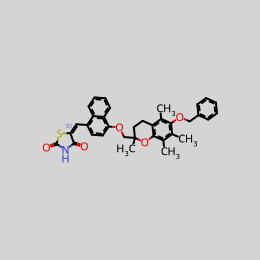 Cc1c(C)c2c(c(C)c1OCc1ccccc1)CCC(C)(COc1ccc(/C=C3/SC(=O)NC3=O)c3ccccc13)O2